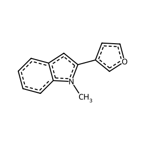 Cn1c(-c2ccoc2)cc2ccccc21